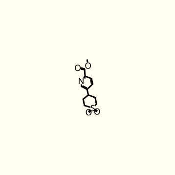 COC(=O)c1ccc(C2CCS(=O)(=O)CC2)cn1